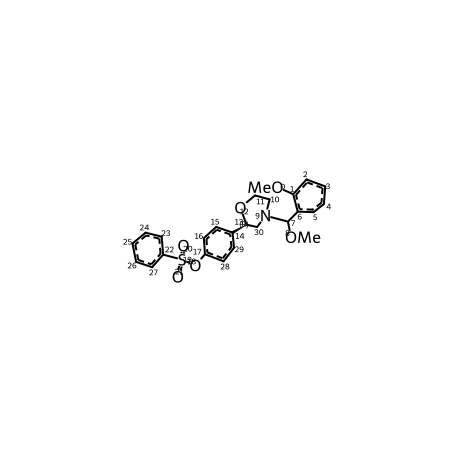 COc1ccccc1C(OC)N1CCO[C@H](c2ccc(OS(=O)(=O)c3ccccc3)cc2)C1